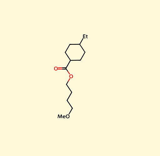 CCC1CCC(C(=O)OCCCCOC)CC1